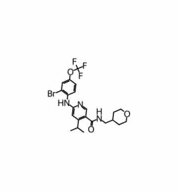 CC(C)c1cc(Nc2ccc(OC(F)(F)F)cc2Br)ncc1C(=O)NCC1CCOCC1